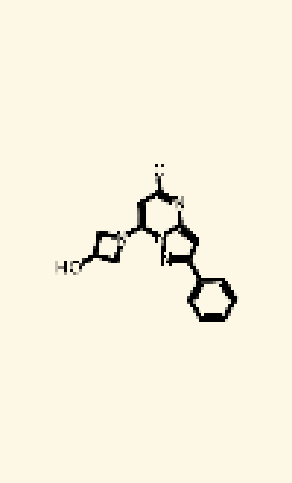 OC1CN(c2cc(Cl)nc3cc(-c4ccccc4)nn23)C1